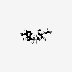 COc1nc(NS(=O)(=O)c2c[nH]c3c(C#N)c(Cl)ccc23)nc(OC)c1OCC(F)F